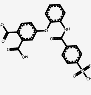 CS(=O)(=O)c1ccc(C(=O)Nc2ccccc2Oc2ccc(C(=O)O)c(C(=O)O)c2)cc1